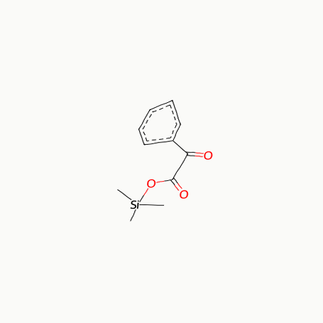 C[Si](C)(C)OC(=O)C(=O)c1ccccc1